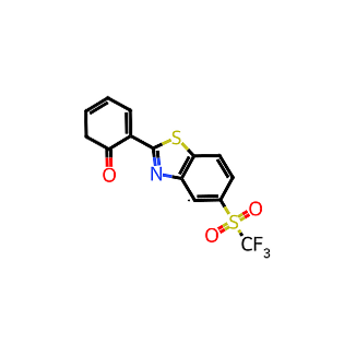 O=C1CC=CC=C1c1nc2[c]c(S(=O)(=O)C(F)(F)F)ccc2s1